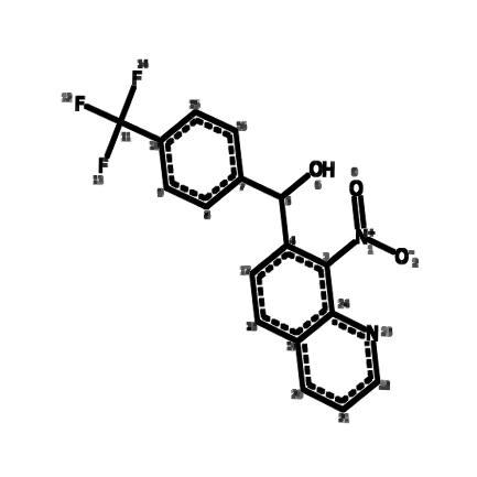 O=[N+]([O-])c1c(C(O)c2ccc(C(F)(F)F)cc2)ccc2cccnc12